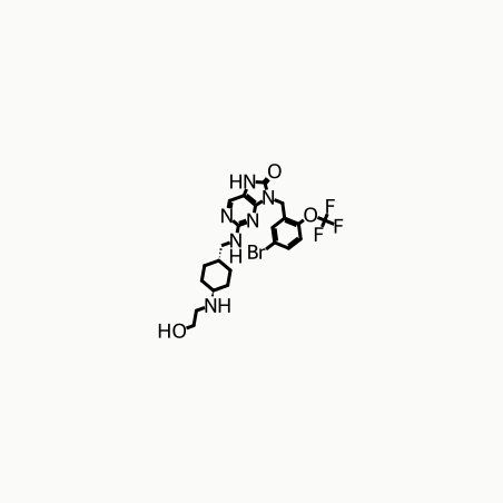 O=c1[nH]c2cnc(NC[C@H]3CC[C@@H](NCCO)CC3)nc2n1Cc1cc(Br)ccc1OC(F)(F)F